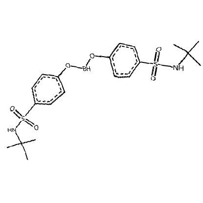 CC(C)(C)NS(=O)(=O)c1ccc(OBOc2ccc(S(=O)(=O)NC(C)(C)C)cc2)cc1